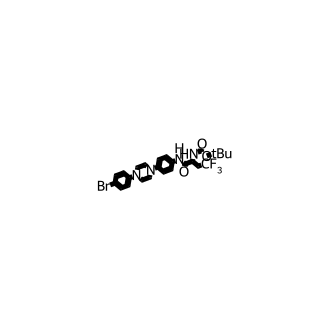 CC(C)(C)OC(=O)NC(CC(F)(F)F)C(=O)Nc1ccc(N2CCN(c3ccc(Br)cc3)CC2)cc1